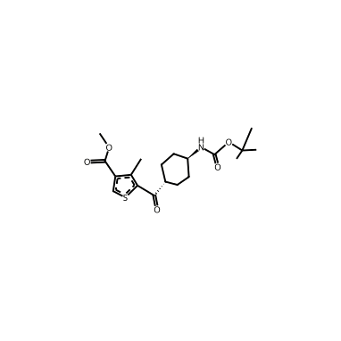 COC(=O)c1csc(C(=O)[C@H]2CC[C@H](NC(=O)OC(C)(C)C)CC2)c1C